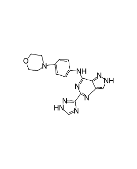 c1nc(-c2nc(Nc3ccc(N4CCOCC4)cc3)c3n[nH]cc3n2)n[nH]1